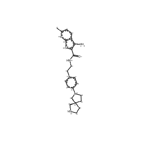 Cc1ccc2c(N)c(C(=O)NCCc3ccc(N4CCC5(CCNC5)C4)cc3)sc2n1